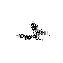 C[n+]1c2ccc(OCC(O/N=C(\C(=O)N[C@@H]3C(=O)N(OS(=O)(=O)[O-])C3(C)C)c3csc(N)n3)C(=O)O)cc2cn1C1CCNCC1